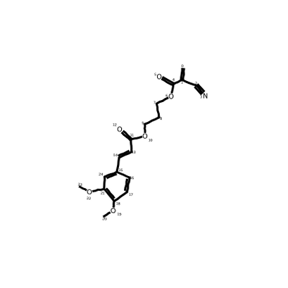 C=C(C#N)C(=O)OCCCOC(=O)C=Cc1ccc(OC)c(OC)c1